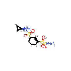 NS(=O)(=O)c1cccc(S(=O)(=O)NC2CC2)c1